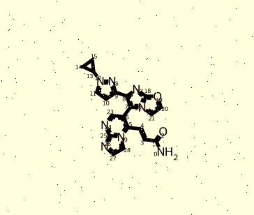 NC(=O)/C=C/c1c(-c2c(-c3ccn(C4CC4)n3)nc3occn23)cnc2nccn12